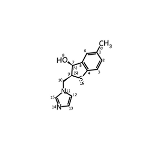 Cc1ccc2c(c1)[C@H](O)[C@H](Cn1ccnc1)S2